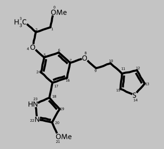 COCC(C)Oc1cc(OCCc2ccsc2)cc(-c2cc(OC)n[nH]2)c1